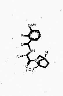 COc1cccc(C(=O)N[C@H](C(=O)N2C[C@@H]3CC[C@@]2(C(=O)O)C3)C(C)(C)C)c1F